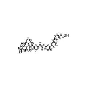 CCc1nc2c(cnn2CC)c(NC2CCOCC2)c1CNC(=O)c1cccc(C(=O)NCc2ccc(F)c(-c3cccc(CN4CCN(CCO)CC4)c3)c2)c1